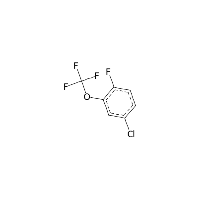 Fc1ccc(Cl)cc1OC(F)(F)F